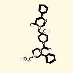 O=C(O)N1CCN(C(=O)N2CCC(O)(Cn3cnc(-c4ccccc4)cc3=O)CC2)C(c2ccccc2)C1